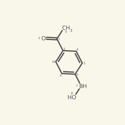 CC(=O)c1ccc(BO)cc1